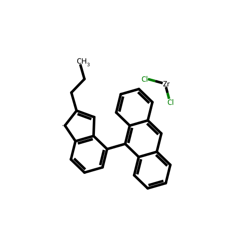 CCCC1=Cc2c(cccc2-c2c3ccccc3cc3ccccc23)[CH]1.[Cl][Zr][Cl]